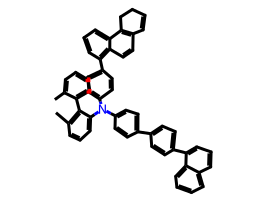 Cc1ccccc1-c1c(C)cccc1N(c1ccc(-c2ccc(-c3cccc4ccccc34)cc2)cc1)c1ccc(-c2cccc3c4c(ccc23)C=CCC4)cc1